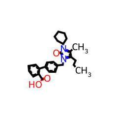 CCCc1c(C)n(C2CCCCC2)c(=O)n1Cc1ccc(-c2ccccc2C(=O)O)cc1